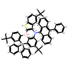 CC(C)(C)c1ccc2c(c1)[Si](c1ccccc1)(c1ccccc1)c1cc(C(C)(C)C)cc3c1B2c1sc2ccc(C(C)(C)C)cc2c1N3c1c2ccccc2c(-c2ccccc2)c2ccccc12